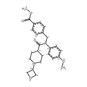 COC(=O)c1ccc(CN(C(=O)N2CCN(C3COC3)CC2)c2ccc(OC)cc2)nc1